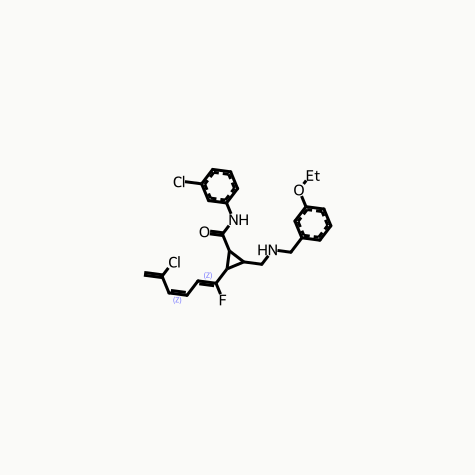 C=C(Cl)/C=C\C=C(/F)C1C(CNCc2cccc(OCC)c2)C1C(=O)Nc1cccc(Cl)c1